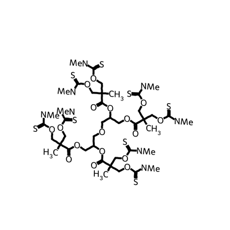 CNC(=S)OCC(C)(COC(=S)NC)C(=O)OCC(COCC(COC(=O)C(C)(COC(=S)NC)COC(=S)NC)OC(=O)C(C)(COC(=S)NC)COC(=S)NC)OC(=O)C(C)(COC(=S)NC)COC(=S)NC